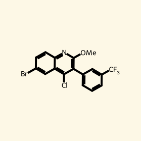 COc1nc2ccc(Br)cc2c(Cl)c1-c1cccc(C(F)(F)F)c1